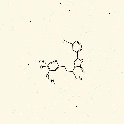 COc1ccc(CCC(C)N2CC(c3cccc(Cl)c3)OC2=O)cc1OC